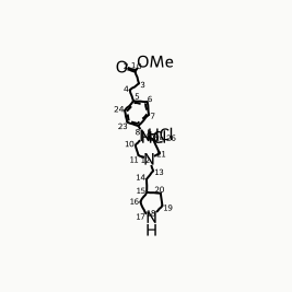 COC(=O)CCc1ccc(N2CCN(CCC3CCNCC3)CC2)cc1.Cl.Cl